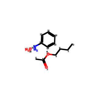 CCCCOC(C)=O.Nc1ccccc1.O